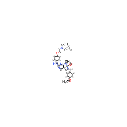 CCN(CC)CCOc1ccc(Nc2ncc3c(n2)N(C)C(=O)N(Cc2ccc(OC)cc2)C3)cc1